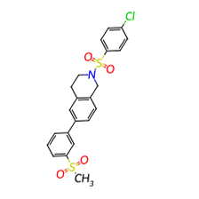 CS(=O)(=O)c1cccc(-c2ccc3c(c2)CCN(S(=O)(=O)c2ccc(Cl)cc2)C3)c1